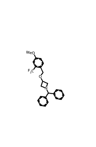 COc1ccc(COC2CN(C(c3ccccc3)c3ccccc3)C2)c(C(F)(F)F)c1